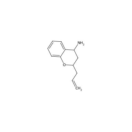 C=CCC1CC(N)c2ccccc2O1